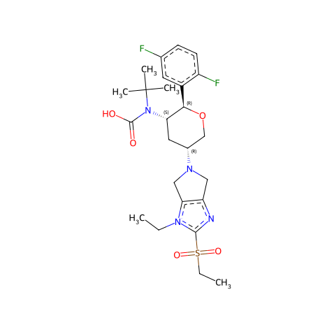 CCn1c(S(=O)(=O)CC)nc2c1CN([C@H]1CO[C@H](c3cc(F)ccc3F)[C@@H](N(C(=O)O)C(C)(C)C)C1)C2